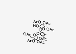 CC(=O)OC[C@H]1O[C@@H](Oc2cc(C)c(C)cc2O[C@@H]2O[C@H](COC(C)=O)[C@@H](OC(C)=O)[C@H](OC(C)=O)[C@H]2O)[C@H](OC(C)=O)[C@@H](OC(C)=O)[C@@H]1OC(C)=O